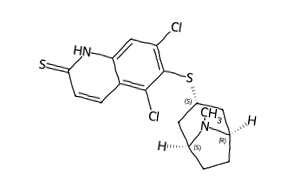 CN1[C@@H]2CC[C@H]1C[C@H](Sc1c(Cl)cc3[nH]c(=S)ccc3c1Cl)C2